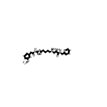 N/C(=C\N(N)CCCCc1nnc(NC(=O)Cc2cccc(OC(F)(F)F)c2)s1)C(=O)NCc1ccccn1